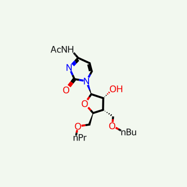 CCCCOC[C@H]1[C@@H](O)[C@H](n2ccc(NC(C)=O)nc2=O)O[C@@H]1COCCC